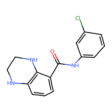 O=C(Nc1cccc(Cl)c1)c1cccc2c1NCCN2